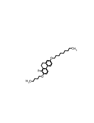 CCCCCCCCCOc1ccc2c(c1)CCc1c-2ccc(OCCCCC)c1F